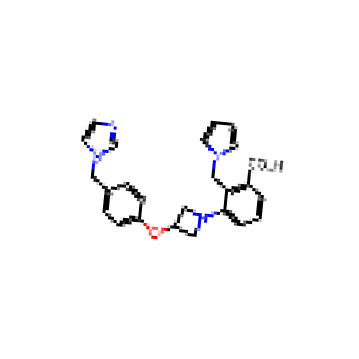 O=C(O)c1cccc(N2CC(Oc3ccc(Cn4ccnc4)cc3)C2)c1Cn1cccc1